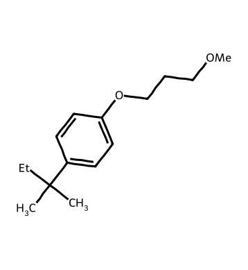 CCC(C)(C)c1ccc(OCCCOC)cc1